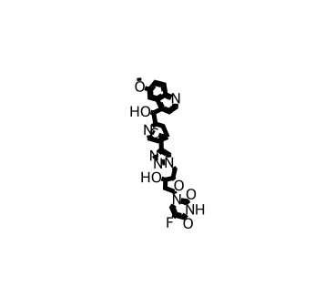 COc1ccc2nccc(C(O)C3CC4CCN3CC4c3cn(CC4OC(n5cc(F)c(=O)[nH]c5=O)CC4O)nn3)c2c1